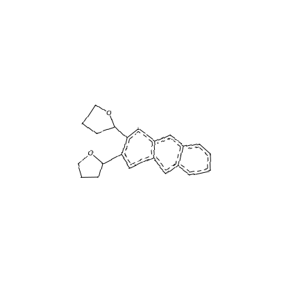 [c]1c(C2CCCO2)c(C2CCCO2)cc2cc3ccccc3cc12